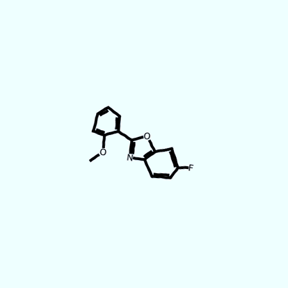 COc1ccccc1-c1nc2ccc(F)cc2o1